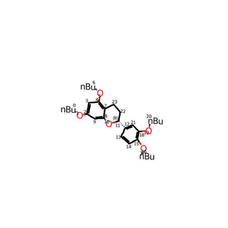 CCCCOc1cc(OCCCC)c2c(c1)O[C@@H](c1ccc(OCCCC)c(OCCCC)c1)CC2